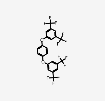 FC(F)(F)c1cc(Oc2ccc(Oc3cc(C(F)(F)F)cc(C(F)(F)F)c3)cc2)cc(C(F)(F)F)c1